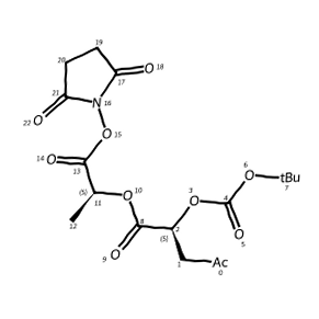 CC(=O)C[C@H](OC(=O)OC(C)(C)C)C(=O)O[C@@H](C)C(=O)ON1C(=O)CCC1=O